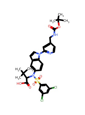 CC(C)(C)OC(=O)NCc1ccnc(-n2ccc3cc(N(C(C(=O)O)C(C)(C)C)S(=O)(=O)c4cc(Cl)cc(Cl)c4)ccc32)c1